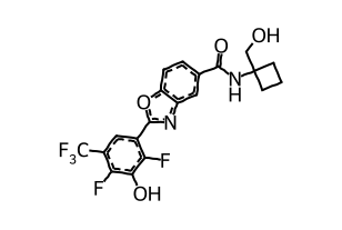 O=C(NC1(CO)CCC1)c1ccc2oc(-c3cc(C(F)(F)F)c(F)c(O)c3F)nc2c1